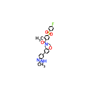 Cc1nc2ccc(-c3ccc4c(c3)CN(C(=O)c3ccc(S(=O)(=O)c5ccc(F)cc5)cc3C)CCO4)cc2[nH]1